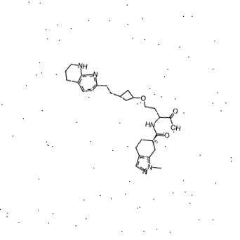 Cn1ncc2c1C[C@H](C(=O)NC(CCOC1CC(CCc3ccc4c(n3)NCCC4)C1)C(=O)O)CC2